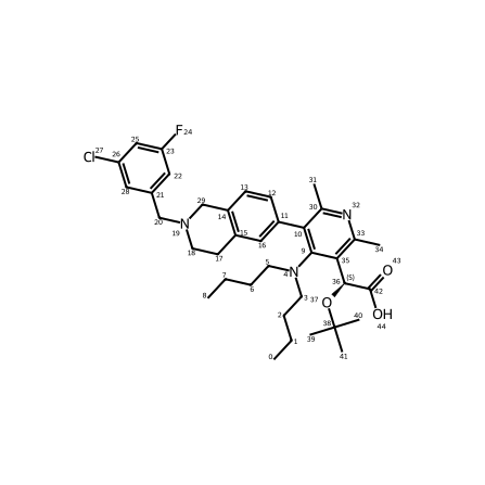 CCCCN(CCCC)c1c(-c2ccc3c(c2)CCN(Cc2cc(F)cc(Cl)c2)C3)c(C)nc(C)c1[C@H](OC(C)(C)C)C(=O)O